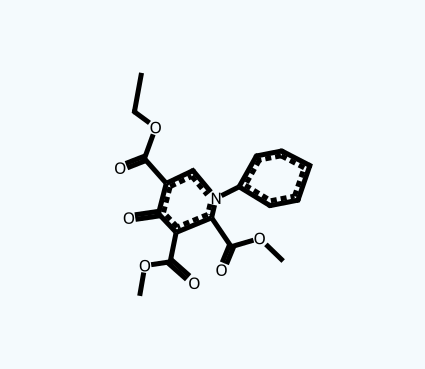 CCOC(=O)c1cn(-c2ccccc2)c(C(=O)OC)c(C(=O)OC)c1=O